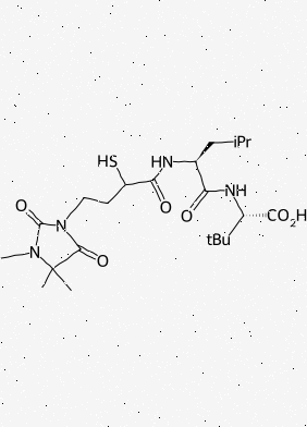 CC(C)C[C@H](NC(=O)C(S)CCN1C(=O)N(C)C(C)(C)C1=O)C(=O)N[C@H](C(=O)O)C(C)(C)C